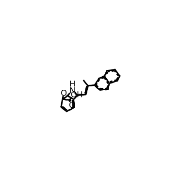 C/C(=C\C1NC23OC2(C(=O)O)C=CC=C13)c1ccc2ccccc2c1